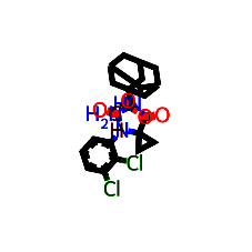 NC(=O)C12CC3CC(C1)C(NC(=O)C1(N(c4cccc(Cl)c4Cl)[SH](=O)=O)CC1)C(C3)C2